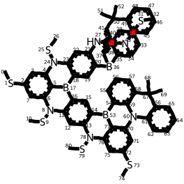 CSc1cc2c3c(c1)N(SC)c1cc4c(cc1B3c1cc3c(cc1N2SC)Nc1cc(SC)cc2c1B3c1cccc3c1N2c1ccccc1C3(C)C)B1c2cccc3c2N(c2ccccc2C3(C)C)c2cc(SC)cc(c21)N4SC